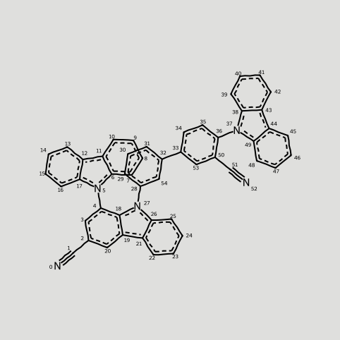 N#Cc1cc(-n2c3ccccc3c3ccccc32)c2c(c1)c1ccccc1n2-c1cccc(-c2ccc(-n3c4ccccc4c4ccccc43)c(C#N)c2)c1